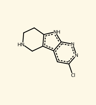 Clc1cc2c3c([nH]c2nn1)CCNC3